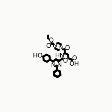 CCOC(=O)N1CCN(C(=O)C(CCC(=O)O)NC(=O)c2cc(C3CCC(O)CC3)nc(-c3ccccc3)n2)CC1